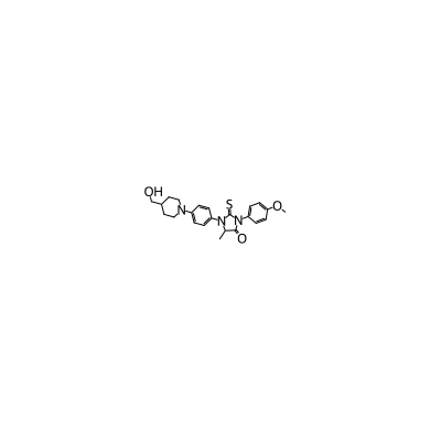 COc1ccc(N2C(=O)C(C)N(c3ccc(N4CCC(CO)CC4)cc3)C2=S)cc1